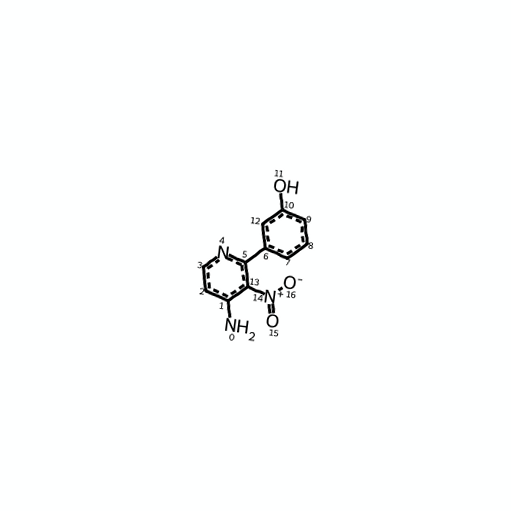 Nc1ccnc(-c2cccc(O)c2)c1[N+](=O)[O-]